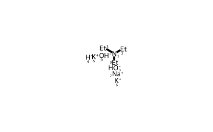 CCN(CC)CC.[H-].[K+].[K+].[Na+].[OH-].[OH-]